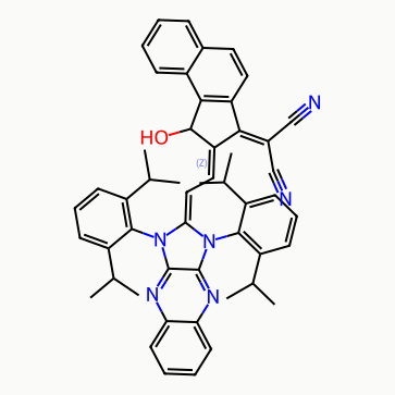 CC(C)c1cccc(C(C)C)c1N1C(=C/C=C2/C(=C(C#N)C#N)c3ccc4ccccc4c3C2O)N(c2c(C(C)C)cccc2C(C)C)c2nc3ccccc3nc21